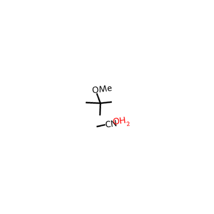 CC#N.COC(C)(C)C.O